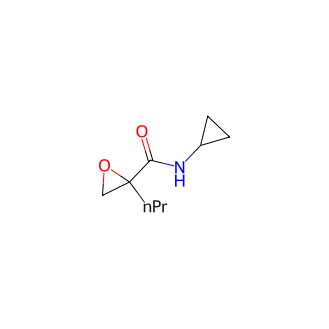 CCCC1(C(=O)NC2CC2)CO1